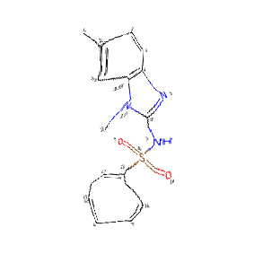 Cc1ccc2nc(NS(=O)(=O)c3ccccc3)n(C)c2c1